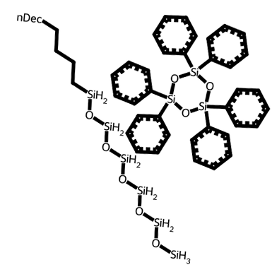 CCCCCCCCCCCCCC[SiH2]O[SiH2]O[SiH2]O[SiH2]O[SiH2]O[SiH3].c1ccc([Si]2(c3ccccc3)O[Si](c3ccccc3)(c3ccccc3)O[Si](c3ccccc3)(c3ccccc3)O2)cc1